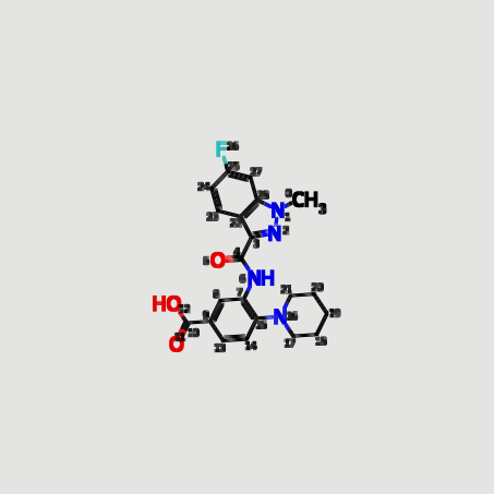 Cn1nc(C(=O)Nc2cc(C(=O)O)ccc2N2CCCCC2)c2ccc(F)cc21